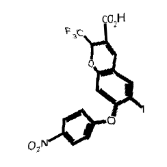 O=C(O)C1=Cc2cc(I)c(Oc3ccc([N+](=O)[O-])cc3)cc2OC1C(F)(F)F